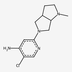 CN1CCC2CN(c3cc(N)c(Cl)cn3)CC21